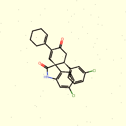 O=C1C[C@@H](c2cccc(Cl)c2)[C@@]2(C=C1C1=CCCCC1)C(=O)Nc1cc(Cl)ccc12